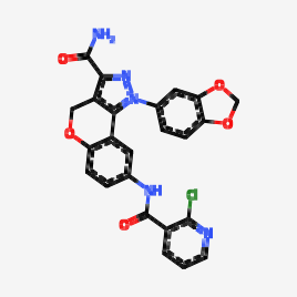 NC(=O)c1nn(-c2ccc3c(c2)OCO3)c2c1COc1ccc(NC(=O)c3cccnc3Cl)cc1-2